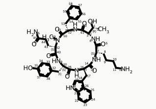 C[C@@H](O)[C@@H]1NC(=O)[C@H](CCCCN)NC(=O)[C@@H](Cc2c[nH]c3ccccc23)NC(=O)[C@H](Cc2ccc(O)cc2)NC(=O)[C@H](CCC(N)=O)N(C)C(=O)[C@H](Cc2ccccc2)NC1=O